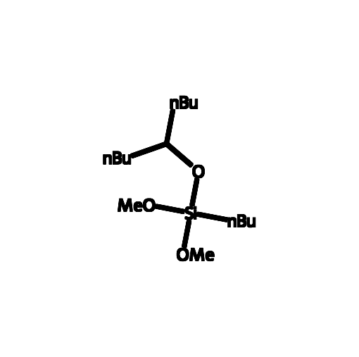 CCCCC(CCCC)O[Si](CCCC)(OC)OC